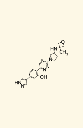 CC1(NC2CCN(c3ncc(-c4ccc(-c5cn[nH]c5)cc4O)nn3)C2)COC1